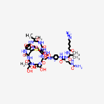 CC[C@@H](C)[C@@H]1NC2(OCCCCCCNC(=O)OCc3ccc(NC(=O)[C@@H](CCCNC(N)=O)NC(=O)[C@H](NC(=O)CCCCCN=[N+]=[N-])C(C)C)cc3)C(=O)CNC(=O)[C@H]3Cc4c([nH]c5cc2ccc45)[S+]([O-])C[C@@H](NC(=O)CNC1=O)C(=O)N[C@@H](CC(N)=O)C(=O)N1C[C@H](O)C[C@H]1C(=O)N[C@@H]([C@@H](C)[C@H](O)CO)C(=O)N3